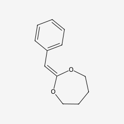 C(=C1OCCCCO1)c1ccccc1